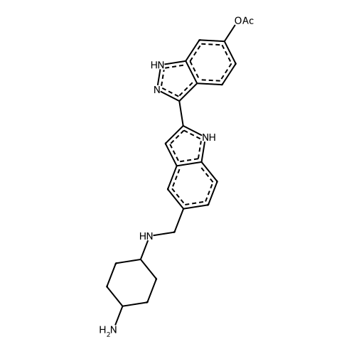 CC(=O)Oc1ccc2c(-c3cc4cc(CNC5CCC(N)CC5)ccc4[nH]3)n[nH]c2c1